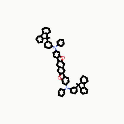 CC1(c2cccc(N(c3ccccc3)c3ccc4c(c3)oc3cc5cc6c(cc5cc34)oc3cc(N(c4ccccc4)c4cccc(C5(C)c7ccccc7-c7ccccc75)c4)ccc36)c2)c2ccccc2-c2ccccc21